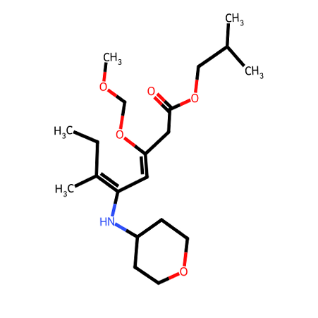 CC/C(C)=C(\C=C(\CC(=O)OCC(C)C)OCOC)NC1CCOCC1